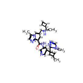 Cc1cnc2c(C(=O)Nc3cncc(C4(c5nncn5C)CC(C)C4)c3)cc(CN[C@@H](C)C3CCC3)cn12